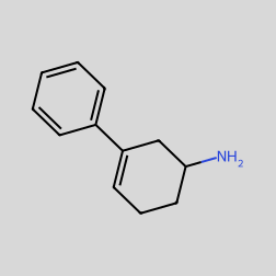 NC1CCC=C(c2ccccc2)C1